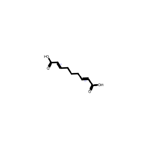 O=C(O)/C=C/CCC/C=C/C(=O)O